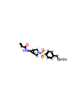 C=CC(=O)NC1C2CN(S(=O)(=O)c3ccc(CNC(C)=O)cc3)CC21